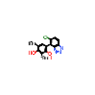 CC(C)(C)c1cc(-c2c(Cl)ccc3[nH]nnc23)c(O)c(C(C)(C)C)c1O